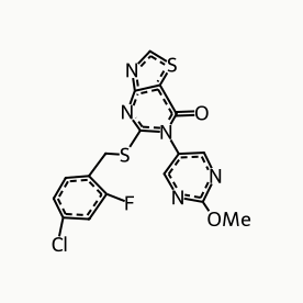 COc1ncc(-n2c(SCc3ccc(Cl)cc3F)nc3ncsc3c2=O)cn1